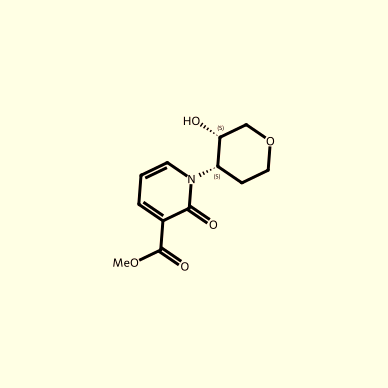 COC(=O)c1cccn([C@H]2CCOC[C@H]2O)c1=O